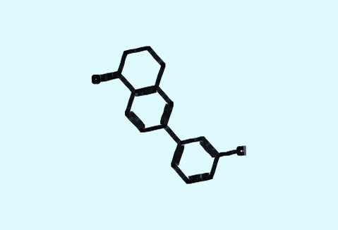 O=C1CCCc2cc(-c3cccc(Cl)c3)ccc21